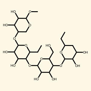 CCC1CC(O)C(O)C(OC2C(CO)OC(OC3C(CC)OC(OC4COC(OC)C(O)C4O)C(O)C3O)C(O)C2O)O1